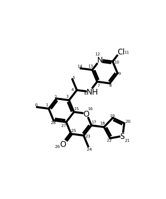 Cc1cc(C(C)Nc2ccc(Cl)nc2C)c2oc(-c3ccsc3)c(C)c(=O)c2c1